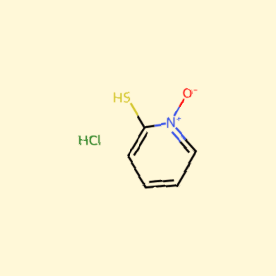 Cl.[O-][n+]1ccccc1S